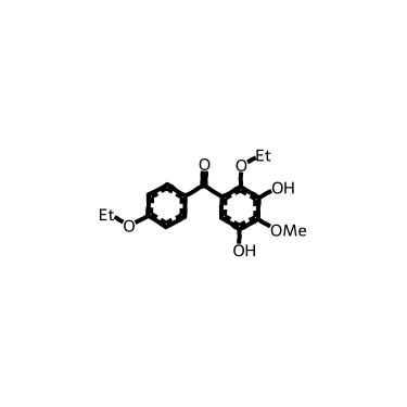 CCOc1ccc(C(=O)c2cc(O)c(OC)c(O)c2OCC)cc1